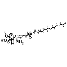 CCCCCCCCCCCCCCCCNC(=O)OCCSCC(N)C(=O)NC(CO)C(=O)OC